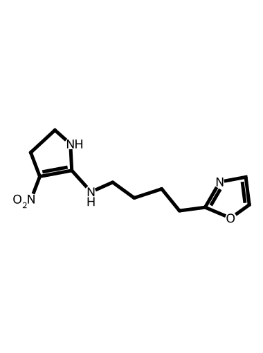 O=[N+]([O-])C1=C(NCCCCc2ncco2)NCC1